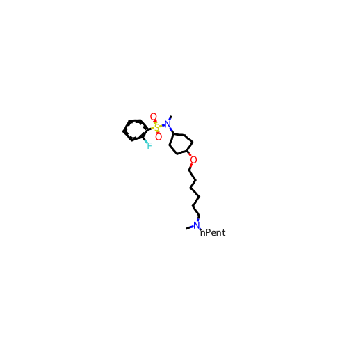 CCCCCN(C)CCCCCCOC1CCC(N(C)S(=O)(=O)c2ccccc2F)CC1